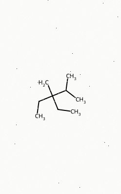 [CH2]C(CC)(CC)C(C)C